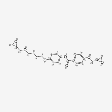 O=C(Oc1ccc(OCCCCOCC2CO2)cc1)c1ccc(OCC2CO2)cc1